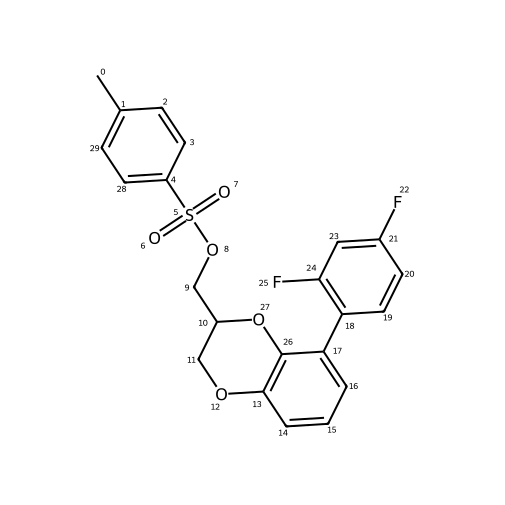 Cc1ccc(S(=O)(=O)OCC2COc3cccc(-c4ccc(F)cc4F)c3O2)cc1